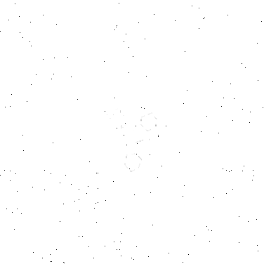 O=C(C[C@@H](c1ccccc1)[C@@H]1COC2(CCCCC2)O1)c1ccccc1